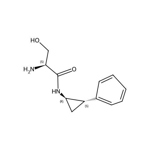 N[C@@H](CO)C(=O)N[C@@H]1C[C@H]1c1ccccc1